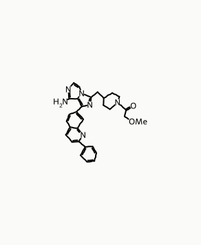 COCC(=O)N1CCC(Cc2nc(-c3ccc4ccc(-c5ccccc5)nc4c3)c3c(N)nccn23)CC1